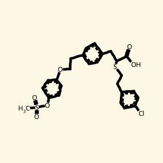 CS(=O)(=O)Oc1ccc(OCCc2ccc(CC(SCCc3ccc(Cl)cc3)C(=O)O)cc2)cc1